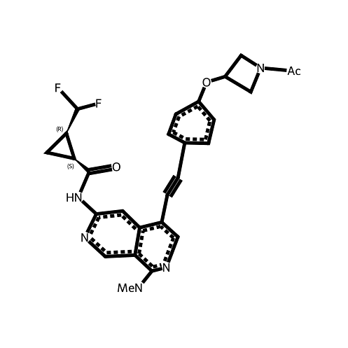 CNc1ncc(C#Cc2ccc(OC3CN(C(C)=O)C3)cc2)c2cc(NC(=O)[C@H]3C[C@H]3C(F)F)ncc12